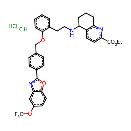 CCOC(=O)c1ccc2c(n1)CCCC2NCCc1ccccc1OCc1ccc(-c2nc3cc(OC(F)(F)F)ccc3o2)cc1.Cl.Cl